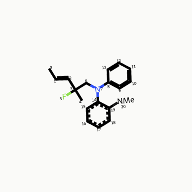 CC=CC(C)(F)CN(C1=C=C=CC=C1)c1ccccc1NC